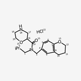 CC(C)CN(Cc1ccc2c(c1)CCCO2)C(=O)C1CNCCO1.Cl